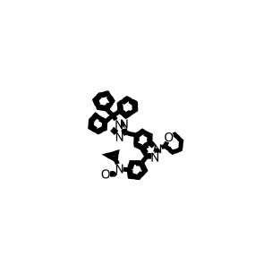 O=CN(c1cccc(-c2nn(C3CCCCO3)c3ccc(-c4ncn(C(c5ccccc5)(c5ccccc5)c5ccccc5)n4)cc23)c1)C1CC1